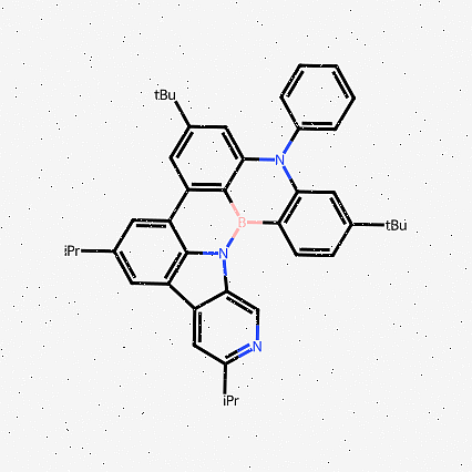 CC(C)c1cc2c3c(c1)c1cc(C(C)C)ncc1n3B1c3ccc(C(C)(C)C)cc3N(c3ccccc3)c3cc(C(C)(C)C)cc-2c31